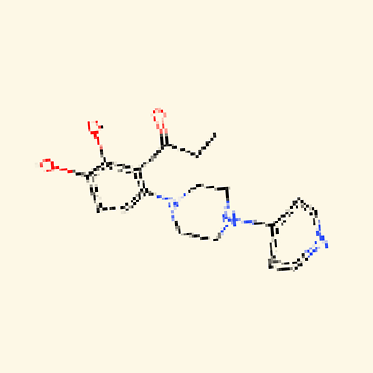 CCC(=O)c1c(N2CCN(c3ccncc3)CC2)ccc([O])c1[O]